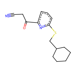 N#CCC(=O)c1cccc(SCC2CCCCC2)n1